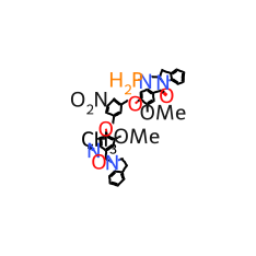 C/C=N\c1cc(OCc2cc(COc3cc4c(cc3OC)C(=O)N3c5ccccc5CC3CN4P)cc([N+](=O)[O-])c2)c(OC)cc1C(=O)N1CCc2ccccc21